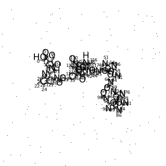 CC[C@@]1(O)C(=O)OCc2c1cc1n(c2=O)Cc2c-1nc1cc(C)c(C)c3c1c2[C@@H](NC(=O)OCc1ccc(NC(=O)[C@H](CCCCNC(=O)CN(C)C(=O)CN(C)C(=O)CN(C)C(=O)CN(C)C(=O)CN(C)C(=O)CN(C)C(=O)CN(C)C(=O)CN(C)C(=O)CN(C)C(=O)CN(C)C(C)=O)NC(=O)[C@@H](NC(=O)CN2C(=O)C=CC2=O)C(C)C)cc1)CC3